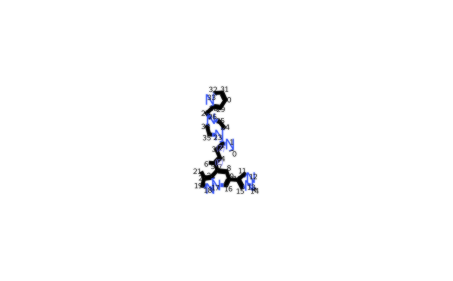 C=N/C(=C\C=C(/C)c1cc(-c2cnn(C)c2)cn2ncc(C)c12)N1CCN(Cc2ccccn2)CC1